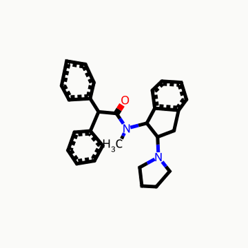 CN(C(=O)C(c1ccccc1)c1ccccc1)C1c2ccccc2CC1N1CCCC1